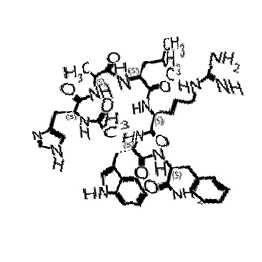 CC(=O)N[C@@H](Cc1c[nH]cn1)C(=O)N[C@@H](C)C(=O)N[C@@H](CC(C)C)C(=O)N[C@@H](CCCNC(=N)N)C(=O)N[C@@H](Cc1c[nH]c2ccccc12)C(=O)N[C@@H](Cc1ccccc1)C(N)=O